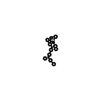 c1ccc(-c2ccc(N(c3ccccc3)c3ccc(-c4ccc(N(c5ccc6c(c5)C5(c7ccccc7-6)c6ccccc6-n6c7ccccc7c7cccc5c76)c5cccc6ccccc56)cc4)cc3)cc2)cc1